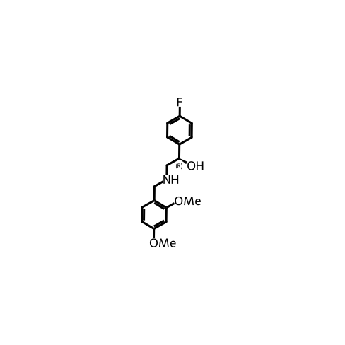 COc1ccc(CNC[C@H](O)c2ccc(F)cc2)c(OC)c1